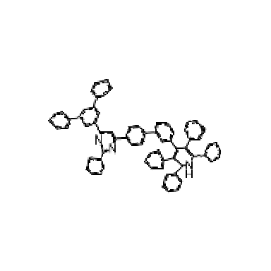 c1ccc(C2=C(c3ccccc3)C(c3cccc(-c4ccc(-c5cc(-c6cc(-c7ccccc7)cc(-c7ccccc7)c6)nc(-c6ccccc6)n5)cc4)c3)=C(c3ccccc3)C(c3ccccc3)N2)cc1